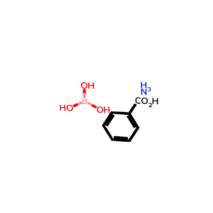 N.O=C(O)c1ccccc1.OB(O)O